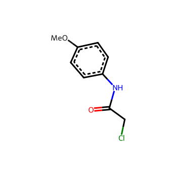 COc1ccc(NC(=O)CCl)cc1